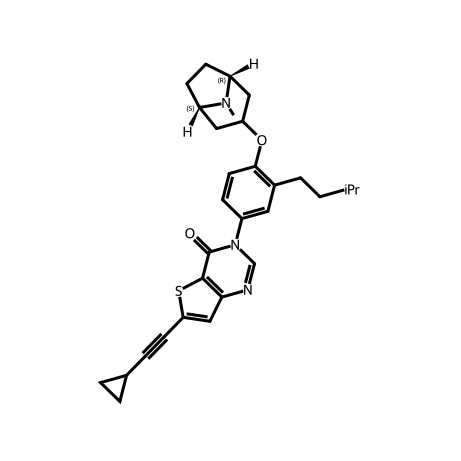 CC(C)CCc1cc(-n2cnc3cc(C#CC4CC4)sc3c2=O)ccc1OC1C[C@H]2CC[C@@H](C1)N2C